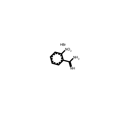 Br.N=C(N)c1ccccc1[N+](=O)[O-]